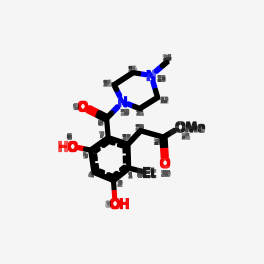 CCc1c(O)cc(O)c(C(=O)N2CCN(C)CC2)c1CC(=O)OC